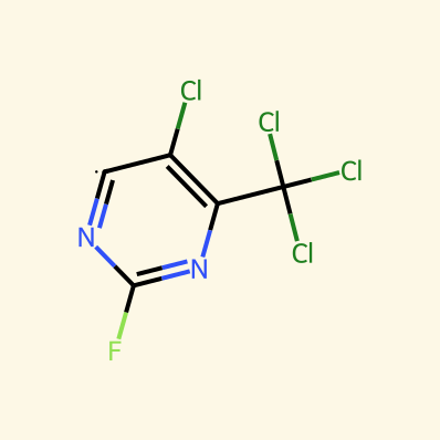 Fc1n[c]c(Cl)c(C(Cl)(Cl)Cl)n1